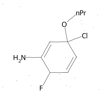 CCCOC1(Cl)C=CC(F)C(N)=C1